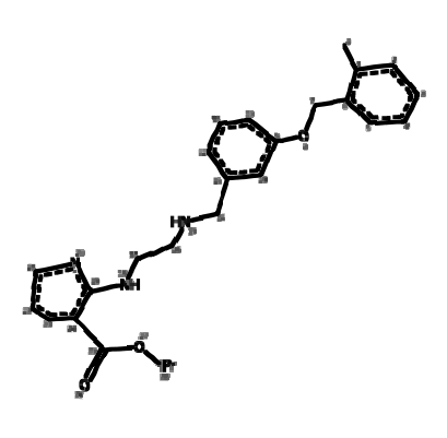 Cc1ccccc1COc1cccc(CNCCNc2ncccc2C(=O)OC(C)C)c1